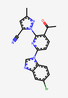 CC(=O)c1ccc(-n2cnc3cc(Br)ccc32)nc1-n1nc(C)cc1C#N